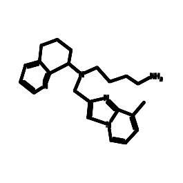 Cc1cccn2cc(CN(CCCCN)C3CCCc4cccnc43)nc12